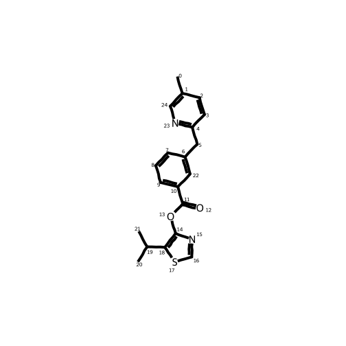 Cc1ccc(Cc2cccc(C(=O)Oc3ncsc3C(C)C)c2)nc1